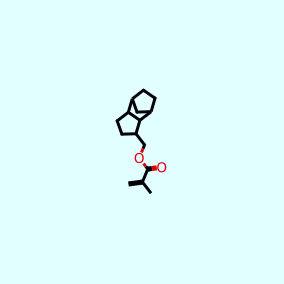 C=C(C)C(=O)OCC1CCC2C3CCC(C3)C12